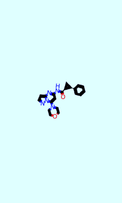 O=C(Nc1cc(N2CCOCC2)n2nccc2n1)[C@H]1C[C@@H]1c1ccccc1